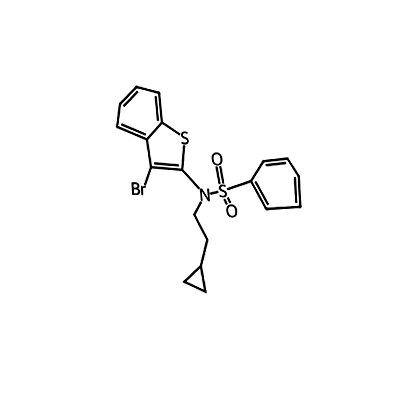 O=S(=O)(c1ccccc1)N(CCC1CC1)c1sc2ccccc2c1Br